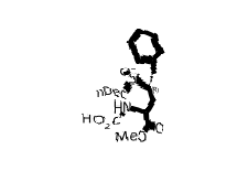 CCCCCCCCCC[S+]([O-])[C@H](Cc1ccccc1)CC(NC(=O)O)C(=O)OC